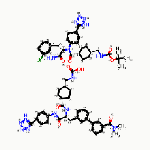 CC(C)(C)OC(=O)NC[C@H]1CC[C@H](C(=O)N(c2ccc(-c3nnn[nH]3)cc2)[C@@H](Cc2cccc(Br)c2)C(N)=O)CC1.CN(C)C(=O)c1cccc(-c2cccc(C[C@H](NC(=O)[C@H]3CC[C@H](CNC(=O)O)CC3)C(=O)Nc3ccc(-c4nnn[nH]4)cc3)c2)c1